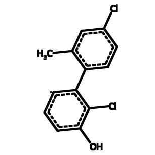 Cc1cc(Cl)ccc1-c1[c]ccc(O)c1Cl